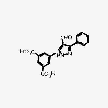 Cc1cc(C(=O)O)cc(C(=O)O)c1.O=Cc1c[nH]nc1-c1ccccc1